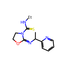 CCNC(=S)N1CCO/C1=N/C(C)c1ccccn1